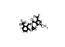 Cn1nc(C(F)F)c(C(=O)N(Cc2c(Cl)cccc2C(F)(F)F)C2CC2)c1F